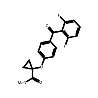 COC(=O)C1(Oc2ccc(C(=O)c3c(F)cccc3F)cc2)CC1